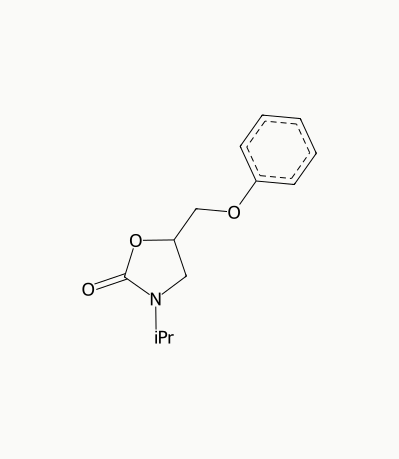 CC(C)N1CC(COc2ccccc2)OC1=O